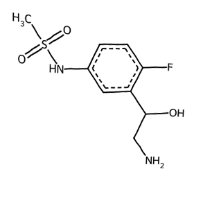 CS(=O)(=O)Nc1ccc(F)c(C(O)CN)c1